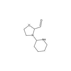 O=CC1OCCN1C1CCCCN1